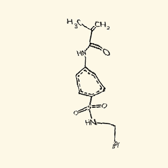 C=C(C)C(=O)Nc1ccc(S(=O)(=O)NCC(C)C)cc1